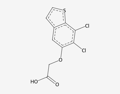 O=C(O)COc1cc2ccsc2c(Cl)c1Cl